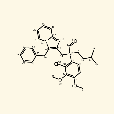 COc1ccc([N+](C=O)(CCC(C)C)Cc2nc3ccccn3c2Cc2ccccc2)c(Cl)c1OC